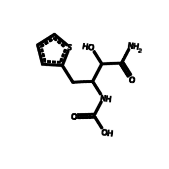 NC(=O)C(O)C(Cc1cccs1)NC(=O)O